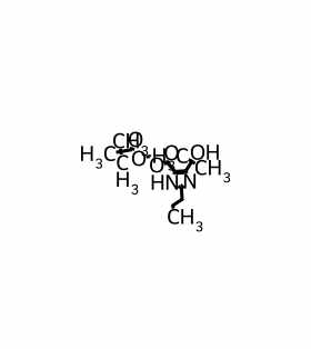 CCCc1nc(C(C)(C)O)c(C(=O)OCOC(=O)C(C)(C)C)[nH]1